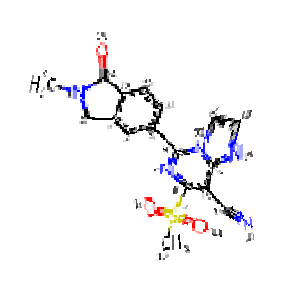 CN1Cc2cc(-c3nc(S(C)(=O)=O)c(C#N)c4nccn34)ccc2C1=O